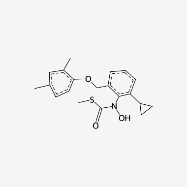 CSC(=O)N(O)c1c(COc2ccc(C)cc2C)cccc1C1CC1